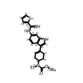 CCN(C(=O)OC(C)(C)C)C1CC=C(c2c[nH]c3cc(NC(=N)c4cccs4)ccc23)CC1